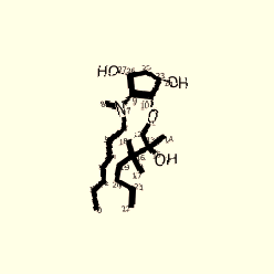 CCCCCCCN(C)[C@@H]1[C@@H](OCC(C)(O)C(C)(C)CCCC)[C@@H](O)C[C@H]1O